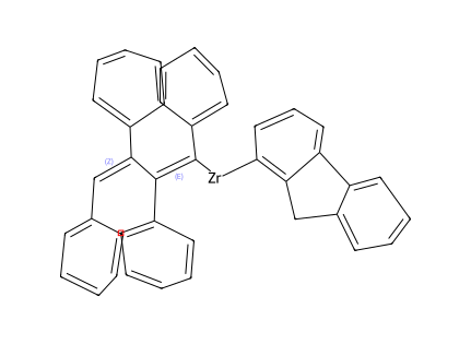 C(=C(/C(=[C](/[Zr][c]1cccc2c1Cc1ccccc1-2)c1ccccc1)c1ccccc1)c1ccccc1)/c1ccccc1